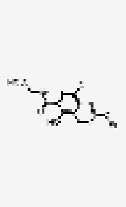 CCOc1ccc2c(O)c(C(=O)NCC(=O)O)nc(Cl)c2n1